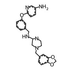 Nc1ccc(Oc2cccc(CNC3CN(Cc4ccc5c(c4)OCO5)CC[N]3)c2)nc1